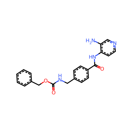 Nc1cnccc1NC(=O)c1ccc(CNC(=O)OCc2ccccc2)cc1